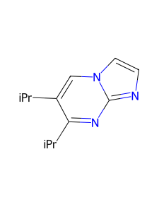 CC(C)c1cn2ccnc2nc1C(C)C